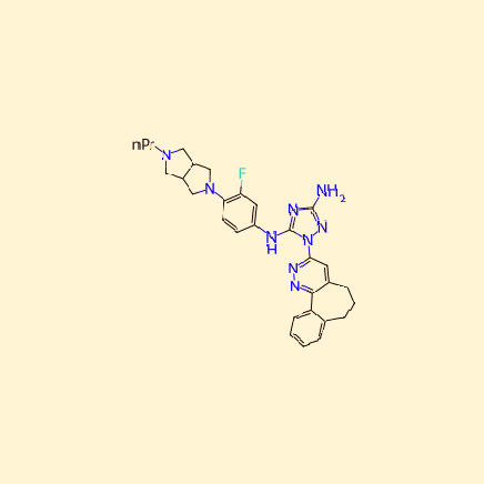 CCCN1CC2CN(c3ccc(Nc4nc(N)nn4-c4cc5c(nn4)-c4ccccc4CCC5)cc3F)CC2C1